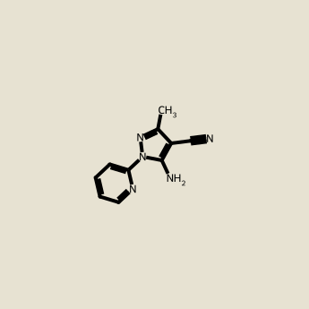 Cc1nn(-c2ccccn2)c(N)c1C#N